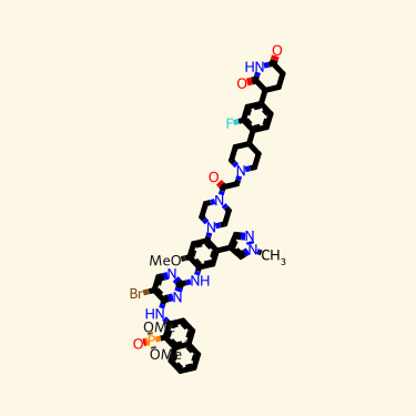 COc1cc(N2CCN(C(=O)CN3CCC(c4ccc(C5CCC(=O)NC5=O)cc4F)CC3)CC2)c(-c2cnn(C)c2)cc1Nc1ncc(Br)c(Nc2ccc3ccccc3c2P(=O)(OC)OC)n1